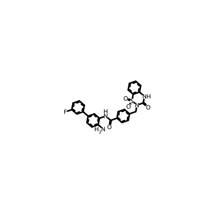 Nc1ccc(-c2cccc(F)c2)cc1NC(=O)c1ccc(CN2C(=O)Nc3ccccc3S2(=O)=O)cc1